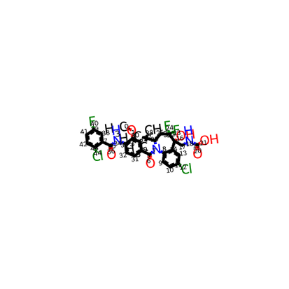 COc1cc(C(=O)N2c3ccc(Cl)cc3C(O)(CNC(=O)O)C(F)(F)CC2C(C)(C)C)ccc1NC(=O)c1cc(F)ccc1Cl